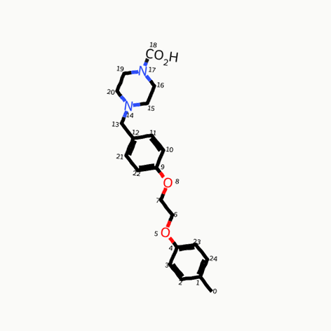 Cc1ccc(OCCOc2ccc(CN3CCN(C(=O)O)CC3)cc2)cc1